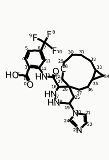 O=C(O)c1ccc(C(F)(F)F)cc1NC(=O)C1NNC(n2ccnc2)CC12CCCCCCC1CC1CC2